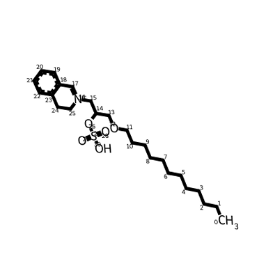 CCCCCCCCCCCCOCC(C[N+]1=Cc2ccccc2CC1)OS(=O)(=O)O